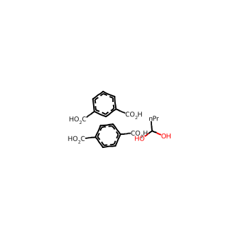 CCCC(O)O.O=C(O)c1ccc(C(=O)O)cc1.O=C(O)c1cccc(C(=O)O)c1